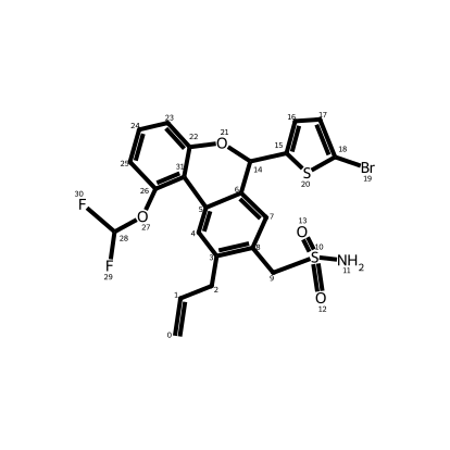 C=CCc1cc2c(cc1CS(N)(=O)=O)C(c1ccc(Br)s1)Oc1cccc(OC(F)F)c1-2